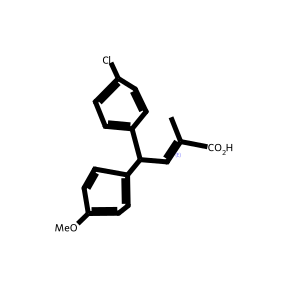 COc1ccc(C(/C=C(\C)C(=O)O)c2ccc(Cl)cc2)cc1